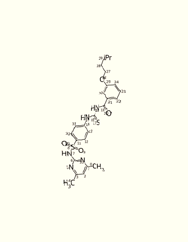 Cc1cc(C)nc(NS(=O)(=O)c2ccc(NC(=S)NC(=O)c3cccc(OCCC(C)C)c3)cc2)n1